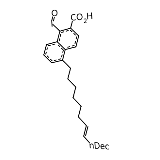 CCCCCCCCCC/C=C/CCCCCCc1cccc2c(I=O)c(C(=O)O)ccc12